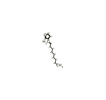 C=CCCCCCCCC.c1ccoc1